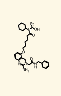 CCC(O)N(C(=O)CCCCCOc1cccc2c1CN(CC(=O)NCc1ccccc1)C(N)=N2)C1CCCCC1